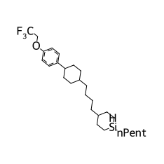 CCCCC[SiH]1CCC(CCCCC2CCC(c3ccc(OCC(F)(F)F)cc3)CC2)CC1